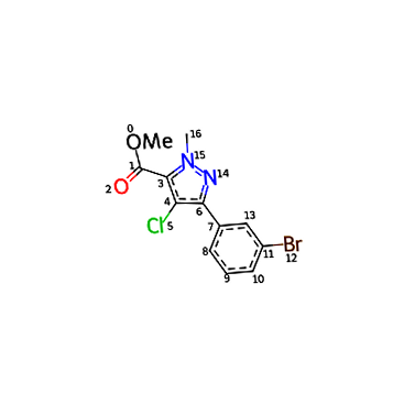 COC(=O)c1c(Cl)c(-c2cccc(Br)c2)nn1C